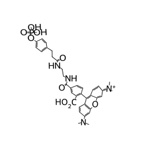 CN(C)c1ccc2c(-c3ccc(C(=O)NCCNC(=O)CCc4ccc(OP(=O)(O)O)cc4)cc3C(=O)O)c3ccc(=[N+](C)C)cc-3oc2c1